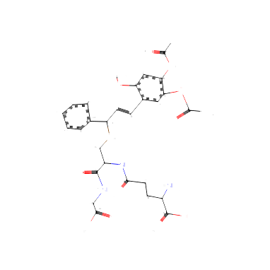 COc1cc(OC(C)=O)c(OC(C)=O)cc1/C=C/C(SCC(NC(=O)CCC(N)C(=O)O)C(=O)NCC(=O)O)c1ccccc1